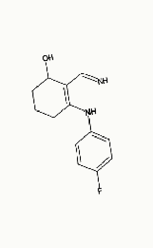 N=CC1=C(Nc2ccc(F)cc2)CCCC1O